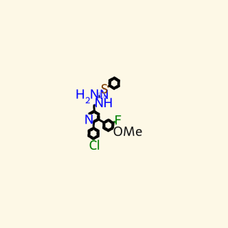 COc1ccc(-c2cc(CN/C(N)=N/Sc3ccccc3)cnc2-c2ccc(Cl)cc2)cc1F